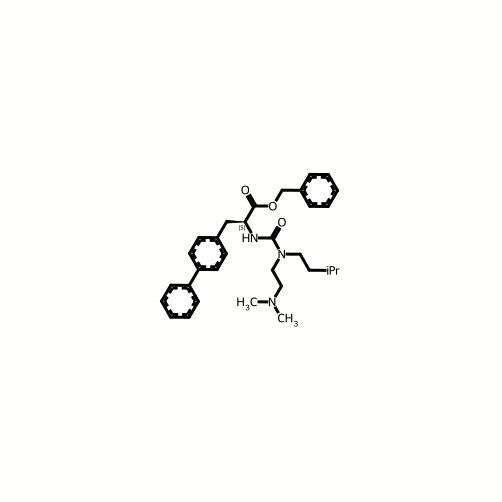 CC(C)CCN(CCN(C)C)C(=O)N[C@@H](Cc1ccc(-c2ccccc2)cc1)C(=O)OCc1ccccc1